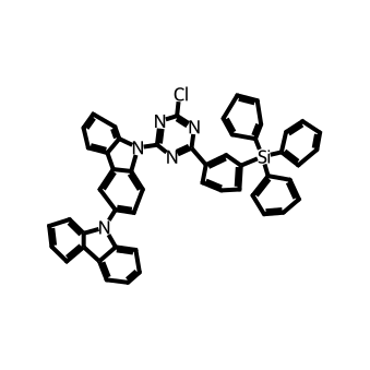 Clc1nc(-c2cccc([Si](c3ccccc3)(c3ccccc3)c3ccccc3)c2)nc(-n2c3ccccc3c3cc(-n4c5ccccc5c5ccccc54)ccc32)n1